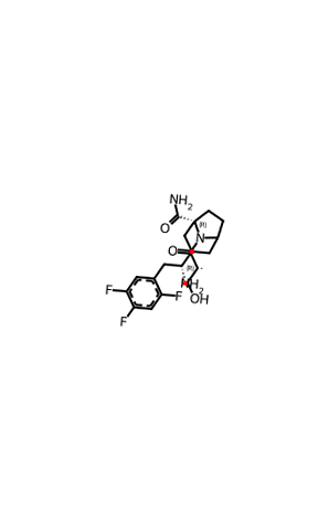 NC(=O)[C@@]12CCC(CC([C@H](N)Cc3cc(F)c(F)cc3F)C1)N2C(=O)[CH]CO